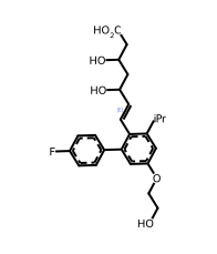 CC(C)c1cc(OCCO)cc(-c2ccc(F)cc2)c1/C=C/C(O)CC(O)CC(=O)O